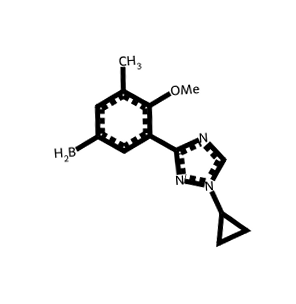 Bc1cc(C)c(OC)c(-c2ncn(C3CC3)n2)c1